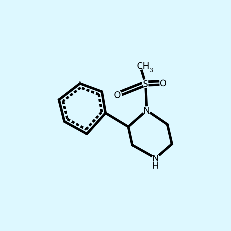 CS(=O)(=O)N1CCNCC1c1c[c]ccc1